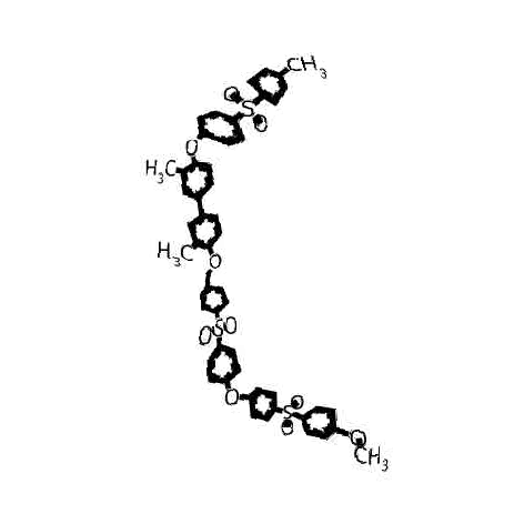 COc1ccc(S(=O)(=O)c2ccc(Oc3ccc(S(=O)(=O)c4ccc(COc5ccc(-c6ccc(Oc7ccc(S(=O)(=O)c8ccc(C)cc8)cc7)c(C)c6)cc5C)cc4)cc3)cc2)cc1